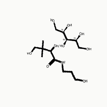 CC(C)(CO)C(O)C(=O)NCCCO.OC[C@@H](O)[C@H](O)[C@@H](O)CO